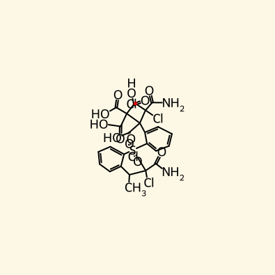 CC(c1ccccc1S(=O)(=O)c1ccccc1C(C(=O)O)(C(Cl)(Cl)C(N)=O)C(C(=O)O)(C(=O)O)C(=O)O)C(Cl)(Cl)C(N)=O